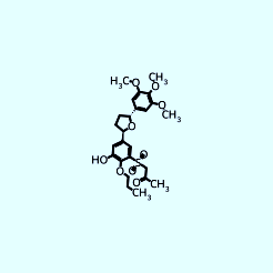 CCCOc1c(O)cc([C@H]2CC[C@H](c3cc(OC)c(OC)c(OC)c3)O2)cc1S(=O)(=O)CC(C)=O